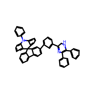 c1ccc(C2=C(c3ccccc3)NCC(c3cccc(-c4ccc5c(c4)C4(c6ccccc6-5)c5ccccc5N(c5ccccc5)c5ccccc54)c3)=N2)cc1